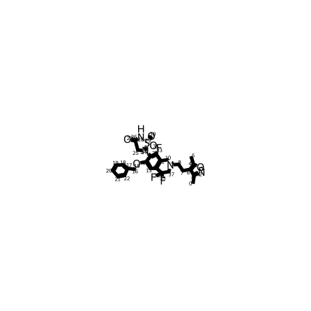 Cc1noc(C)c1CCN1Cc2c(cc(OCc3ccccc3)c(N3CC(=O)NS3(=O)=O)c2F)C(F)(F)C1